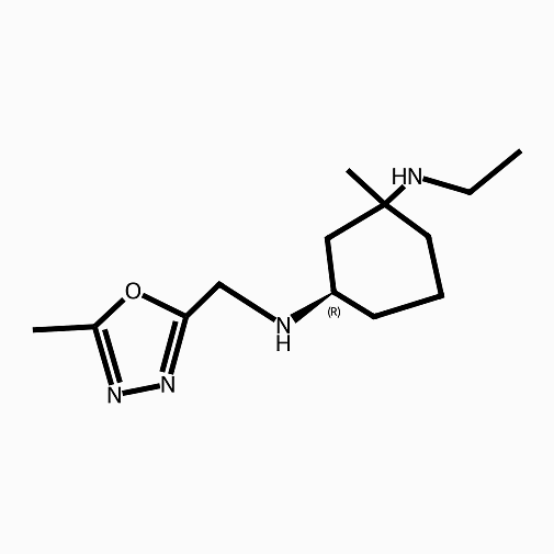 CCNC1(C)CCC[C@@H](NCc2nnc(C)o2)C1